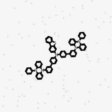 c1ccc(N2c3ccccc3N(c3cccc(-c4ccc(N(c5ccc(-c6cccc(N7c8ccccc8N(c8ccccc8)c8ccccc87)c6)cc5)c5ccc6c(c5)sc5ccccc56)cc4)c3)c3ccccc32)cc1